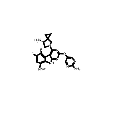 CNc1cc(F)c(F)c2c1[nH]c1nc(Oc3cnc(N)nc3)nc(N3C[C@H](N)C4(CC4)C3)c12